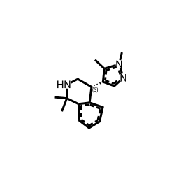 Cc1c([C@H]2CNC(C)(C)c3ccccc32)cnn1C